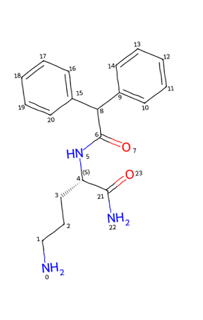 NCCC[C@H](NC(=O)C(c1ccccc1)c1ccccc1)C(N)=O